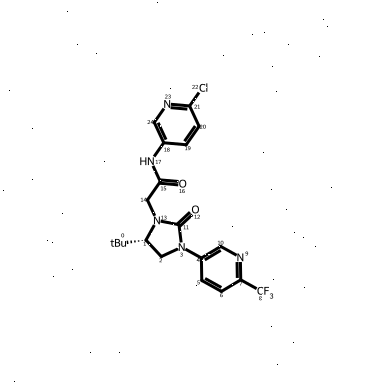 CC(C)(C)[C@H]1CN(c2ccc(C(F)(F)F)nc2)C(=O)N1CC(=O)Nc1ccc(Cl)nc1